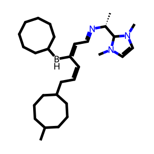 CC1CCCC(C\C=C/C(BC2CCCCCCC2)=C\C=N\[C@H](C)C2N(C)C=CN2C)CCC1